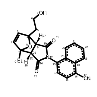 CCC12C=CC(CCO)(O1)[C@@H]1C(=O)N(c3ccc(C#N)c4ccccc34)C(=O)[C@@H]12